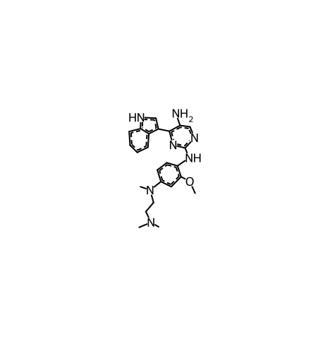 COc1cc(N(C)CCN(C)C)ccc1Nc1ncc(N)c(-c2c[nH]c3ccccc23)n1